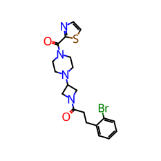 O=C(CCc1ccccc1Br)N1CC(N2CCN(C(=O)c3nccs3)CC2)C1